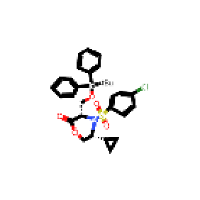 CC(C)(C)[Si](OC[C@H]1C(=O)OC[C@@H](C2CC2)N1S(=O)(=O)c1ccc(Cl)cc1)(c1ccccc1)c1ccccc1